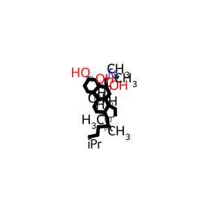 CC(C)CCC[C@@H](C)[C@H]1CC[C@H]2[C@@H]3C[C@](O)(CN(C)C)[C@@]4(O)C[C@@H](O)CC[C@]4(C)[C@H]3CC[C@]12C